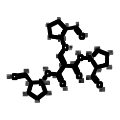 O=C[C@@H]1CCCN1OC=C(C(=O)ON1CCC[C@H]1C=O)C(=O)ON1CCC[C@H]1C=O